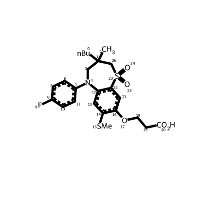 CCCCC1(C)CN(c2ccc(F)cc2)c2cc(SC)c(OCCC(=O)O)cc2S(=O)(=O)C1